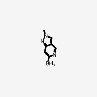 Bc1cc2nn(C)cc2cn1